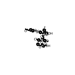 CC1=C(CC(=O)O)c2cc(F)ccc2/C1=C\c1ccc([S+](C)[O-])cc1.COc1ccc2c(c1)c(CC(=O)O)c(C)n2C(=O)c1ccc(Cl)cc1.COc1ccc2cc(CCC(C)=O)ccc2c1.O=C(c1ccccc1)c1ccc2n1CCC2C(=O)O